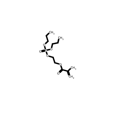 C=C(C)C(=O)OCCOP(=O)(OCCC)OCCC